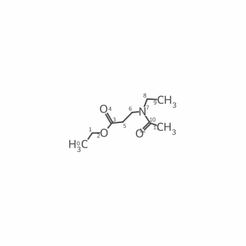 CCOC(=O)CCN(CC)C(C)=O